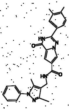 Cc1ccc(-c2nn3cc(C(=O)NCc4c(C)nn(-c5ccccc5)c4C)cc3c(=O)[nH]2)cc1C